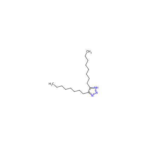 CCCCCCCCc1nn[nH]c1CCCCCCCC